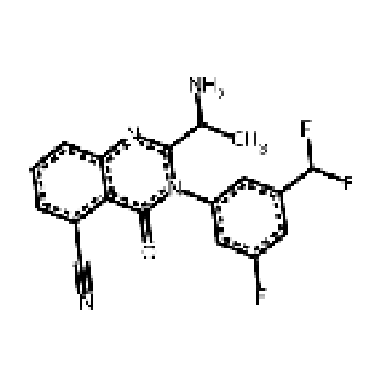 CC(N)c1nc2cccc(C#N)c2c(=O)n1-c1cc(F)cc(C(F)F)c1